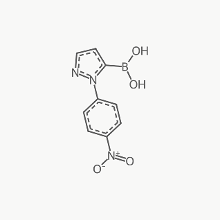 O=[N+]([O-])c1ccc(-n2nccc2B(O)O)cc1